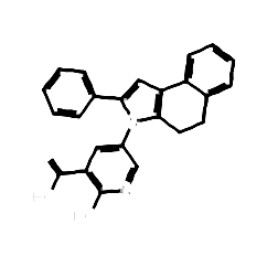 O=C(O)c1cc(-n2c(-c3ccccc3)cc3c2CCc2ccccc2-3)cnc1O